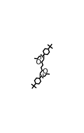 CC1CN(C2CCC(C(C)(C)C)CC2)CC(CCC2CN(C3CCC(C(C)(C)C)CC3)CC(C)O2)O1